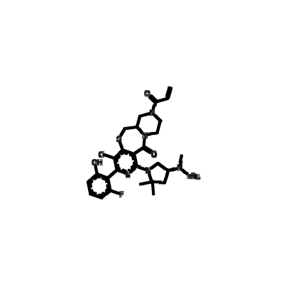 C=CC(=O)N1CCN2C(=O)c3c(N4CC(N(C)CCCC)CC4(C)C)nc(-c4c(O)cccc4F)c(Cl)c3OCC2C1